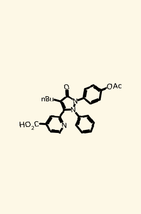 CCCCc1c(-c2cc(C(=O)O)ccn2)n(-c2ccccc2)n(-c2ccc(OC(C)=O)cc2)c1=O